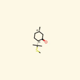 CSC(C)(C)[C@@H]1CC[C@@H](C)CC1=O